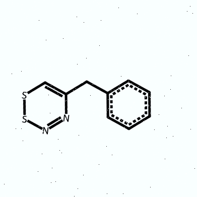 C1=C(Cc2ccccc2)N=NSS1